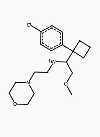 COCC(NCCN1CCOCC1)C1(c2ccc(Cl)cc2)CCC1